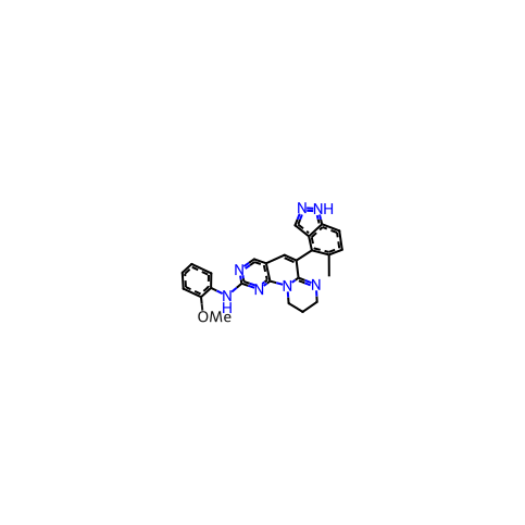 COc1ccccc1Nc1ncc2c(n1)N1CCCN=C1C(c1c(C)ccc3[nH]ncc13)=C2